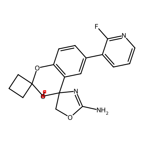 NC1=NC2(CO1)c1cc(-c3cccnc3F)ccc1OC1(CCC1)C21COC1